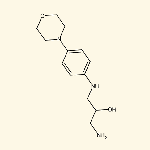 NCC(O)CNc1ccc(N2CCOCC2)cc1